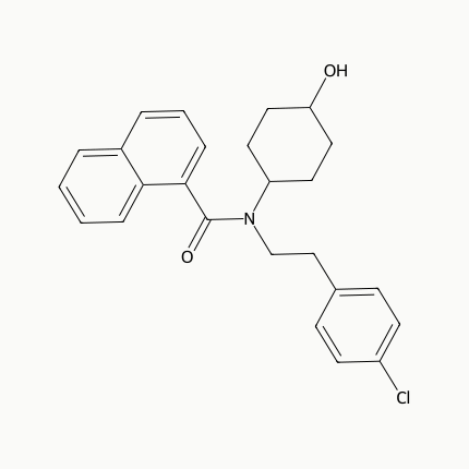 O=C(c1cccc2ccccc12)N(CCc1ccc(Cl)cc1)C1CCC(O)CC1